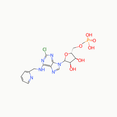 O=P(O)(O)COC[C@H]1OC(n2cnc3c(NCc4ccccn4)nc(Cl)nc32)[C@H](O)[C@@H]1O